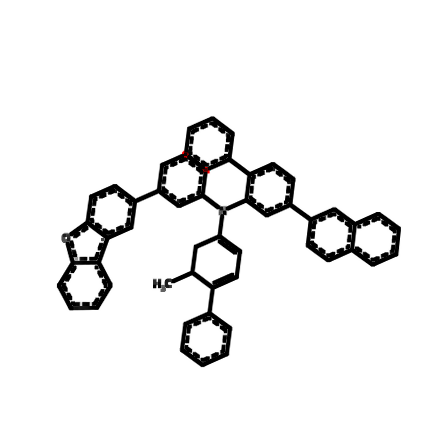 CC1CC(N(c2cccc(-c3ccc4oc5ccccc5c4c3)c2)c2cc(-c3ccc4ccccc4c3)ccc2-c2ccccc2)=CC=C1c1ccccc1